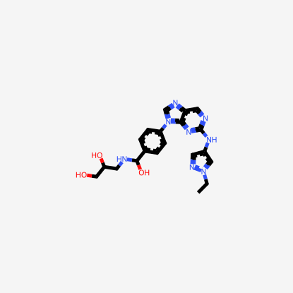 CCn1cc(Nc2ncc3ncn(-c4ccc(C(O)NCC(O)CO)cc4)c3n2)cn1